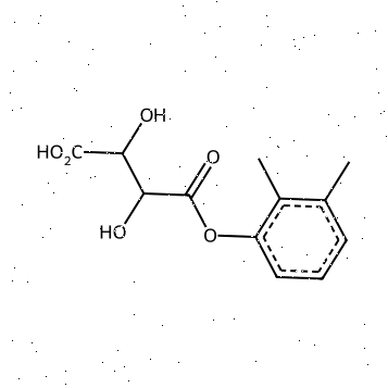 Cc1cccc(OC(=O)C(O)C(O)C(=O)O)c1C